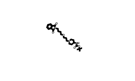 CC(C)(C)OC(=O)NC1CCN(CCCOCCCCN2C(=O)c3ccccc3C2=O)CC1